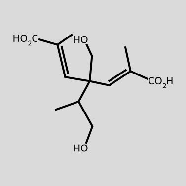 CC(=CC(C=C(C)C(=O)O)(CO)C(C)CO)C(=O)O